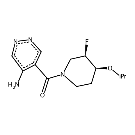 CC(C)O[C@H]1CCN(C(=O)c2cnncc2N)C[C@H]1F